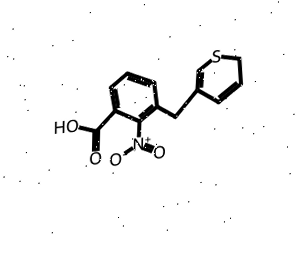 O=C(O)c1cccc(CC2=CSCC=C2)c1[N+](=O)[O-]